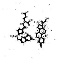 CN(Cc1cnc2nc(N)nc(N)c2n1)c1ccc(C(=O)NC(CCC(=O)O)C(=O)O)cc1.C[C@H]1C[C@H]2[C@@H]3CCC4=CC(=O)C=C[C@]4(C)[C@@]3(Cl)[C@@H](O)C[C@]2(C)[C@@]1(O)C(=O)CO